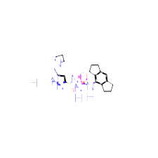 Cn1nc(S(=N)(=O)NC(=O)Nc2c3c(cc4c2CCC4)CCC3)cc1CN1CCC1